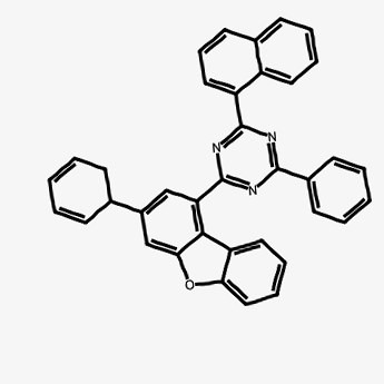 C1=CCC(c2cc(-c3nc(-c4ccccc4)nc(-c4cccc5ccccc45)n3)c3c(c2)oc2ccccc23)C=C1